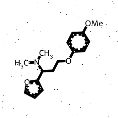 COc1ccc(OCCC(c2ccco2)N(C)C)cc1